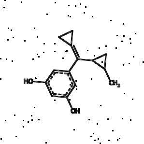 CC1CC1C(=C1CC1)c1cc(O)cc(O)c1